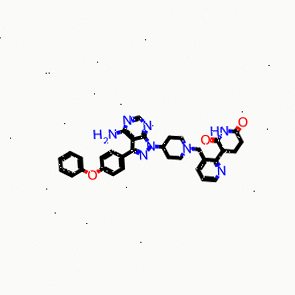 Nc1ncnc2c1c(-c1ccc(Oc3ccccc3)cc1)nn2C1CCN(Cc2cccnc2C2CCC(=O)NC2=O)CC1